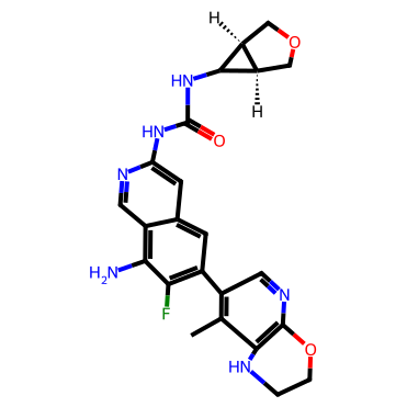 Cc1c(-c2cc3cc(NC(=O)NC4[C@H]5COC[C@@H]45)ncc3c(N)c2F)cnc2c1NCCO2